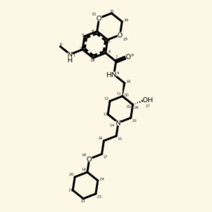 CNc1cc2c(c(C(=O)NC[C@@H]3CCN(CCCOC4CCCCC4)C[C@H]3O)c1)OCCO2